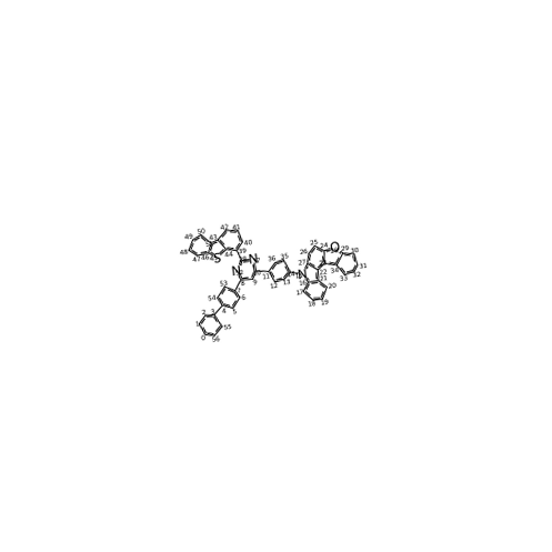 c1ccc(-c2ccc(-c3cc(-c4ccc(-n5c6ccccc6c6c7c(ccc65)oc5ccccc57)cc4)nc(-c4cccc5c4sc4ccccc45)n3)cc2)cc1